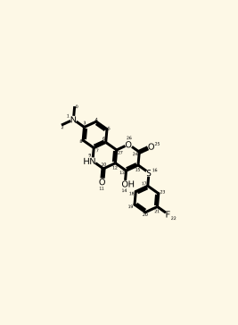 CN(C)c1ccc2c(c1)[nH]c(=O)c1c(O)c(Sc3cccc(F)c3)c(=O)oc12